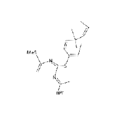 C=C(/N=C(\N=C(/C)CCC)SC(/C=C\C(C)(C)/C=C\C)=C/C)SC